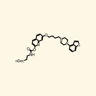 CCCCCCCCCCCCNC(=O)Oc1ccc2ccc(OCCCCN3CCN(c4cccc5sccc45)CC3)cc2n1